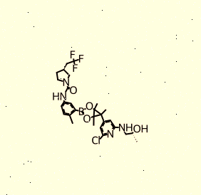 Cc1ccc(NC(=O)N2CC[C@@H](CC(F)(F)F)C2)cc1B1OC2(C)C(C)(O1)C2(C)c1cc(Cl)nc(NC[C@@H](C)O)c1